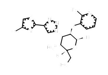 CC(C)c1ncccc1O[C@@H]1[C@@H](n2cc(-c3nc(Cl)cs3)nn2)[C@@H](O)[C@@](Br)(CO)O[C@@H]1S